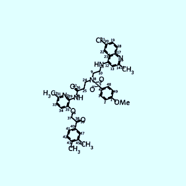 COc1ccc(S(=O)(=O)N(CCNc2cc(C)nc3ccc(Cl)cc23)CCC(=O)Nc2nc(C)ccc2OCC(=O)c2ccc(C)c(C)c2)cc1